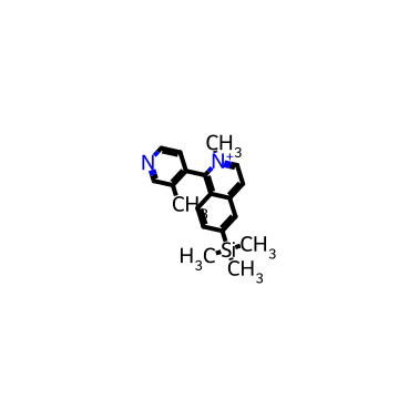 Cc1cnccc1-c1c2ccc([Si](C)(C)C)cc2cc[n+]1C